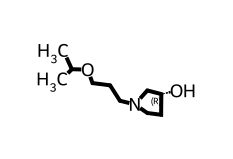 CC(C)OCCCN1CC[C@@H](O)C1